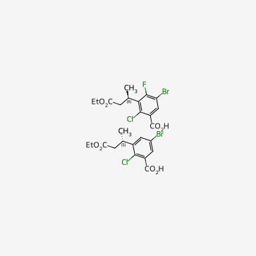 CCOC(=O)C[C@@H](C)c1c(F)c(Br)cc(C(=O)O)c1Cl.CCOC(=O)C[C@H](C)c1cc(Br)cc(C(=O)O)c1Cl